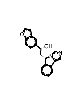 O[C@H](C[C@H]1c2ccccc2-c2cncn21)c1ccc2occc2c1